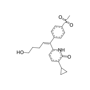 CS(=O)(=O)c1ccc(C(=CCCCO)c2ccc(C3CC3)c(=O)[nH]2)cc1